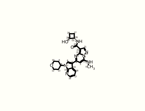 CNc1cc(-c2cn(C3CCOCC3)c3ncccc23)nc2c(C(=O)N[C@H]3CC[C@H]3O)cnn12